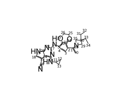 C=C(c1ccc(Nc2nc(NC3CC3)c3c(C#N)c[nH]c3n2)c2c1OCCO2)N1CC(CC)(CC)C1